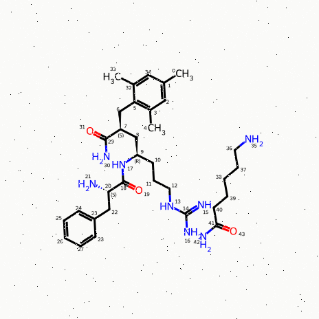 Cc1cc(C)c(C[C@@H](C[C@@H](CCCNC(=N)N)NC(=O)[C@@H](N)Cc2ccccc2)C(N)=O)c(C)c1.NCCCCCC(N)=O